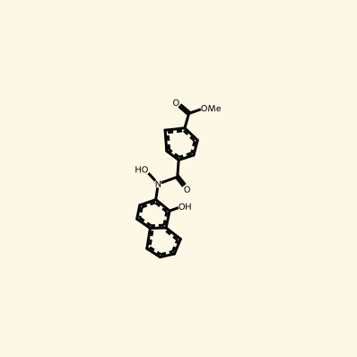 COC(=O)c1ccc(C(=O)N(O)c2ccc3ccccc3c2O)cc1